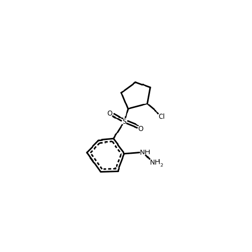 NNc1ccccc1S(=O)(=O)C1CCCC1Cl